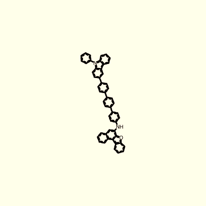 c1ccc(-n2c3ccccc3c3cc(-c4ccc(-c5ccc(-c6ccc(Nc7cc8ccccc8c8c7oc7ccccc78)cc6)cc5)cc4)ccc32)cc1